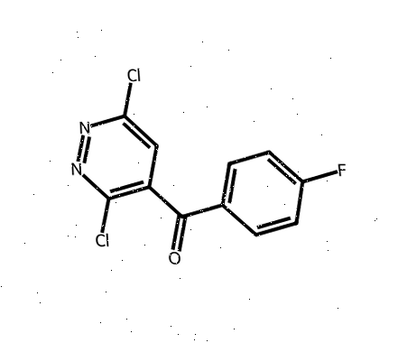 O=C(c1ccc(F)cc1)c1cc(Cl)nnc1Cl